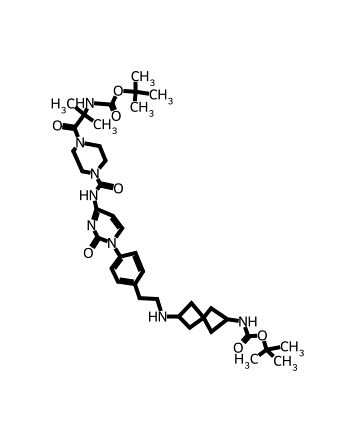 CC(C)(C)OC(=O)NC1CC2(CC(NCCc3ccc(-n4ccc(NC(=O)N5CCN(C(=O)C(C)(C)NC(=O)OC(C)(C)C)CC5)nc4=O)cc3)C2)C1